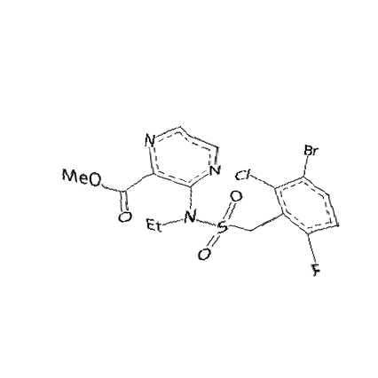 CCN(c1nccnc1C(=O)OC)S(=O)(=O)Cc1c(F)ccc(Br)c1Cl